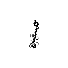 Cc1ccc(OCCCCNC(=O)CCC(=O)N2C(=O)CCC2=O)cc1